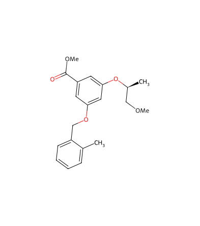 COC[C@H](C)Oc1cc(OCc2ccccc2C)cc(C(=O)OC)c1